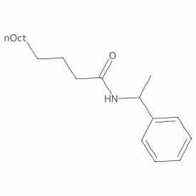 CCCCCCCCCCCC(=O)NC(C)c1ccccc1